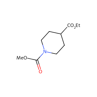 [CH2]OC(=O)N1CCC(C(=O)OCC)CC1